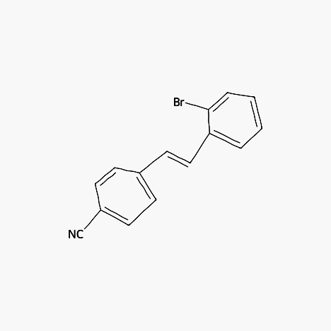 N#Cc1ccc(C=Cc2ccccc2Br)cc1